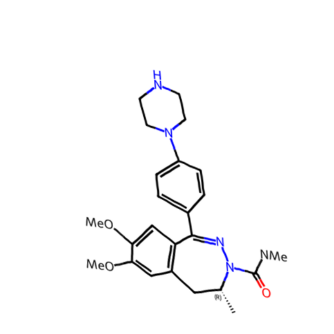 CNC(=O)N1N=C(c2ccc(N3CCNCC3)cc2)c2cc(OC)c(OC)cc2C[C@H]1C